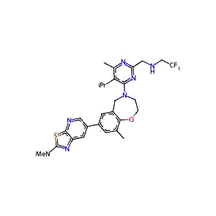 CNc1nc2cc(-c3cc(C)c4c(c3)CN(c3nc(CNCC(F)(F)F)nc(C)c3C(C)C)CCO4)cnc2s1